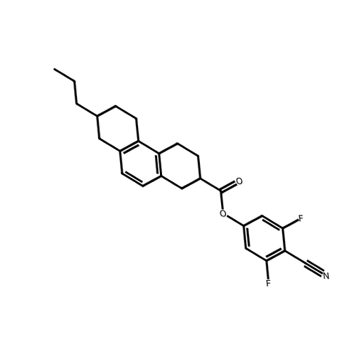 CCCC1CCc2c(ccc3c2CCC(C(=O)Oc2cc(F)c(C#N)c(F)c2)C3)C1